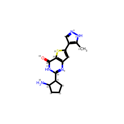 Cc1[nH]ncc1-c1cc2nc(C3CCCC3N)[nH]c(=O)c2s1